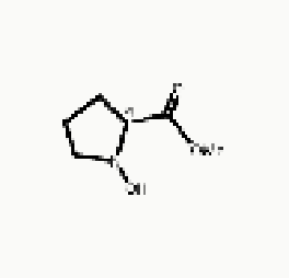 COC(=O)[C@@H]1CCCN1O